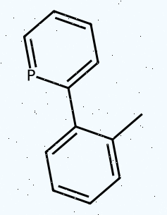 Cc1ccccc1-c1ccccp1